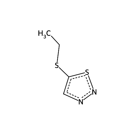 CCSc1cnns1